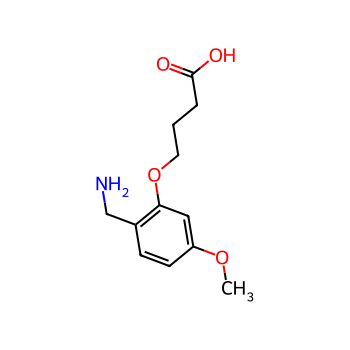 COc1ccc(CN)c(OCCCC(=O)O)c1